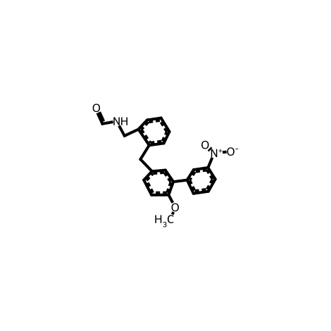 COc1ccc(Cc2ccccc2CNC=O)cc1-c1cccc([N+](=O)[O-])c1